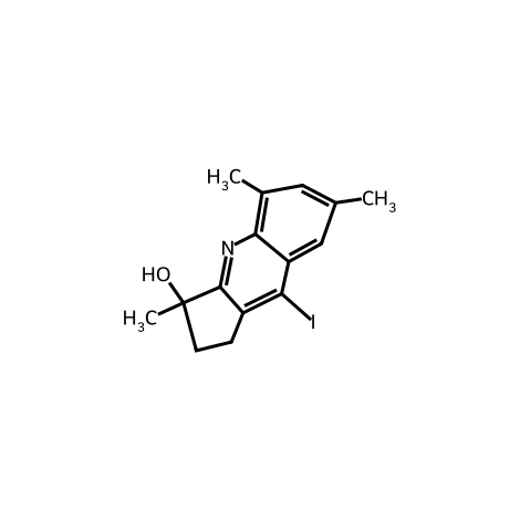 Cc1cc(C)c2nc3c(c(I)c2c1)CCC3(C)O